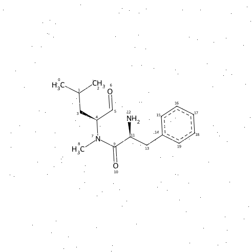 CC(C)C[C@@H](C=O)N(C)C(=O)[C@@H](N)Cc1ccccc1